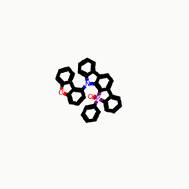 O=P1(c2ccccc2)c2ccccc2-c2ccc3c4ccccc4n(-c4cccc5oc6ccccc6c45)c3c21